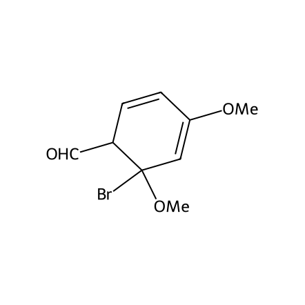 COC1=CC(Br)(OC)C(C=O)C=C1